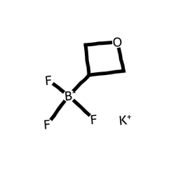 F[B-](F)(F)C1COC1.[K+]